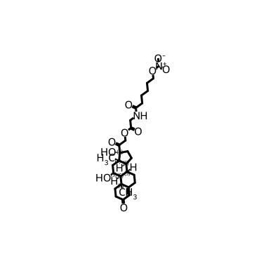 C[C@]12CCC(=O)C=C1CC[C@@H]1[C@@H]2[C@@H](O)C[C@@]2(C)[C@H]1CC[C@]2(O)C(=O)COC(=O)CNC(=O)CCCCCO[N+](=O)[O-]